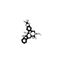 [2H]C1([2H])Oc2ccc([C@]3([2H])c4[nH]c5ccccc5c4C[C@]4([2H])C(=O)N(C)CC(=O)N34)cc2O1